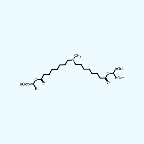 CCCCCCCCC(CC)OC(=O)CCCCCCCN(C)CCCCCCCC(=O)OC(CCCCCCCC)CCCCCCCC